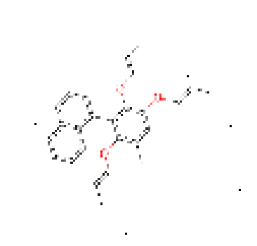 CC=COc1cc(C)c(OC=CC)c(-c2cccc3ccccc23)c1OC=CC